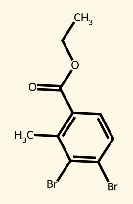 CCOC(=O)c1ccc(Br)c(Br)c1C